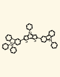 c1ccc(-n2c3ccccc3c3cc(-c4cc5c(s4)c4sc(-c6ccc7c(c6)-c6ccccc6[Si]7(c6ccccc6)c6ccccc6)cc4n5-c4ccccc4)ccc32)cc1